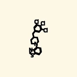 Clc1cc(CC2CCN(c3cccc4scnc34)CC2)cc(Cl)c1Cl